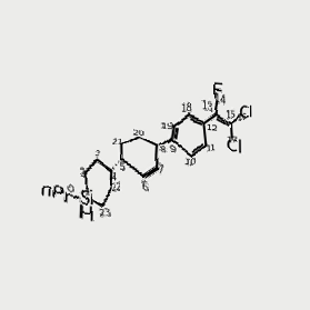 CCC[SiH]1CCC([C@H]2CC[C@H](c3ccc(C(F)=C(Cl)Cl)cc3)CC2)CC1